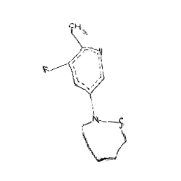 Cc1ncc(N2CCCCS2)cc1F